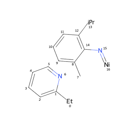 CCc1ccccn1.Cc1cccc(C(C)C)c1[N]=[Ni]